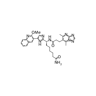 COc1nc2ccccc2cc1-c1cnc([C@H](CCCCCC(N)=O)NC(=O)CCc2c(C)nc3ncnn3c2C)[nH]1